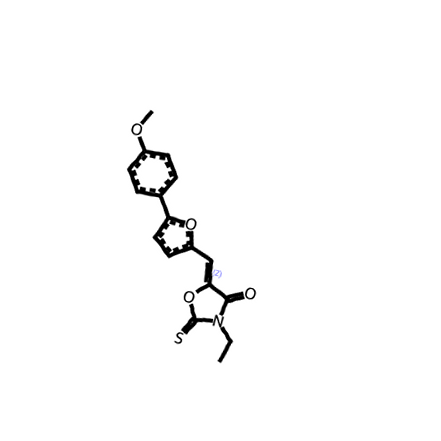 CCN1C(=O)/C(=C/c2ccc(-c3ccc(OC)cc3)o2)OC1=S